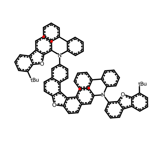 CC(C)(C)c1cccc2c1oc1c(N(c3ccc4c(ccc5oc6ccc7cc(N(c8ccccc8-c8ccccc8)c8cccc9c8oc8c(C(C)(C)C)cccc89)ccc7c6c54)c3)c3ccccc3-c3ccccc3)cccc12